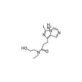 CCN(CCO)C(=O)CCC1=C2C=NC=C[N+]2(N)C(I)=N1